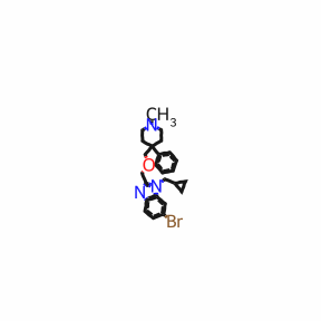 CN1CCC(COCc2nc3ccc(Br)cc3n2CC2CC2)(c2ccccc2)CC1